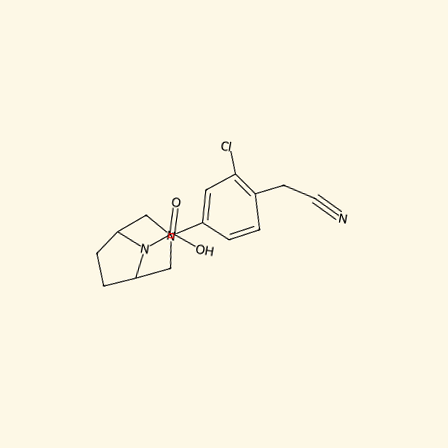 N#CCc1ccc(N2CC3CCC(C2)N3C(=O)O)cc1Cl